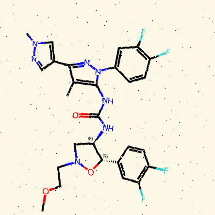 COCCN1C[C@@H](NC(=O)Nc2c(C)c(-c3cnn(C)c3)nn2-c2ccc(F)c(F)c2)[C@H](c2ccc(F)c(F)c2)O1